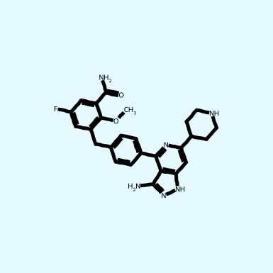 COc1c(Cc2ccc(-c3nc(C4CCNCC4)cc4[nH]nc(N)c34)cc2)cc(F)cc1C(N)=O